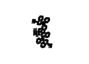 CC1(C)c2cc(N(c3ccccc3)c3ccc(C#N)c4ccccc34)ccc2-c2c1cc(N(c1ccccc1)c1ccc(C#N)c3ccccc13)c1ccccc21